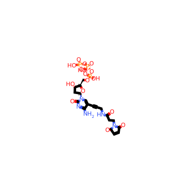 Nc1nc(=O)n([C@H]2CC(O)[C@@H](COP(=O)(O)OP(=O)(O)OP(=O)(O)O)O2)cc1C#CCNC(=O)CCN1C(=O)C=CC1=O